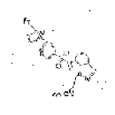 COCCn1ncc2cccc(NS(=O)(=O)c3ccc(-n4ccc(C(C)C)n4)nc3)c21